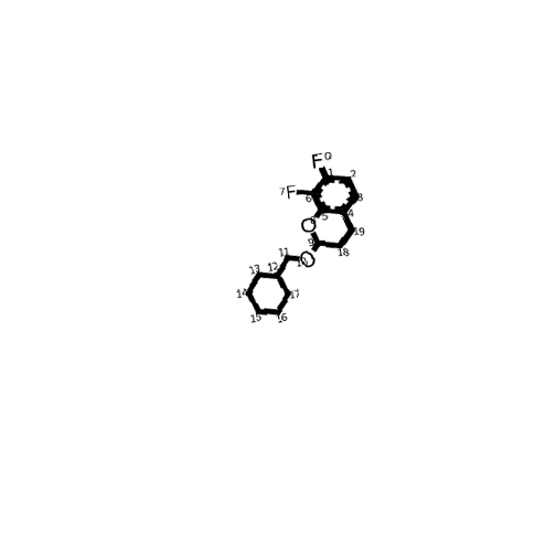 Fc1ccc2c(c1F)OC(OCC1CCCCC1)CC2